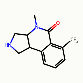 CN1C(=O)c2c(cccc2C(F)(F)F)C2CNCC21